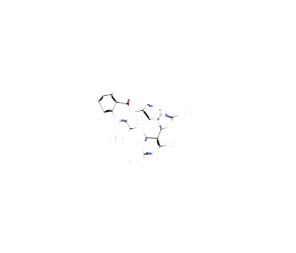 Cc1nnc(-c2c(N)nc(N)nc2N[C@@H](C)c2nc3cccc(Cl)c3c(=O)n2-c2cn[nH]c2)o1